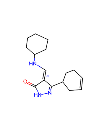 O=C1NN=C(C2CC=CCC2)/C1=C/NC1CCCCC1